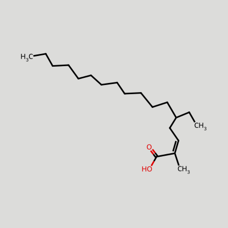 CCCCCCCCCCCCC(CC)CC=C(C)C(=O)O